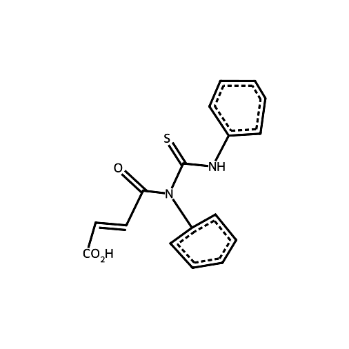 O=C(O)C=CC(=O)N(C(=S)Nc1ccccc1)c1ccccc1